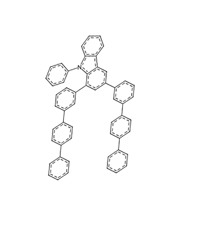 c1ccc(-c2ccc(-c3cccc(-c4cc(-c5cccc(-c6ccc(-c7ccccc7)cc6)c5)c5c(c4)c4ccccc4n5-c4ccccc4)c3)cc2)cc1